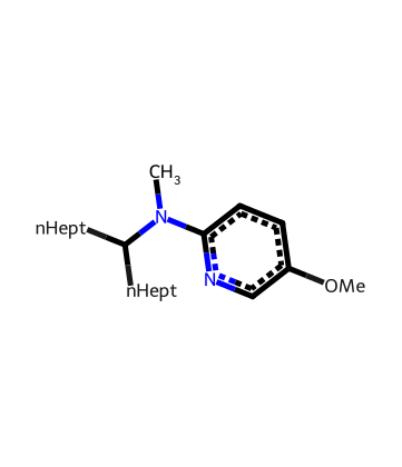 CCCCCCCC(CCCCCCC)N(C)c1ccc(OC)cn1